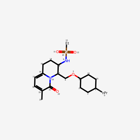 CCCC1CCC(OCC2C(NS(=O)(=O)CC)CCc3ccc(C)c(=O)n32)CC1